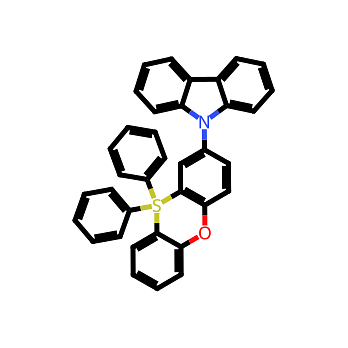 c1ccc(S2(c3ccccc3)c3ccccc3Oc3ccc(-n4c5ccccc5c5ccccc54)cc32)cc1